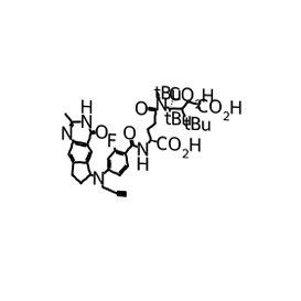 C#CCN(c1ccc(C(=O)N[C@@H](CCC(=O)N(C(C)(C)C)[C@@](C(=O)O)(C(CC(=O)O)C(C)(C)C)C(C)(C)C)C(=O)O)c(F)c1)C1CCc2cc3nc(C)[nH]c(=O)c3cc21